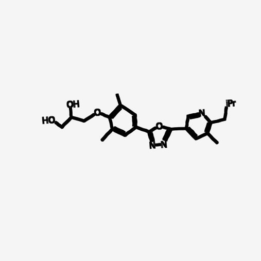 Cc1cc(-c2nnc(-c3cc(C)c(OCC(O)CO)c(C)c3)o2)cnc1CC(C)C